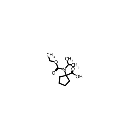 CCOC(=O)N(C(C)C)C1(C(=O)O)CCCC1